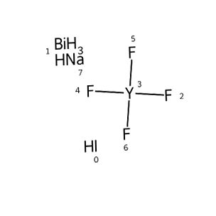 I.[BiH3].[F][Y]([F])([F])[F].[NaH]